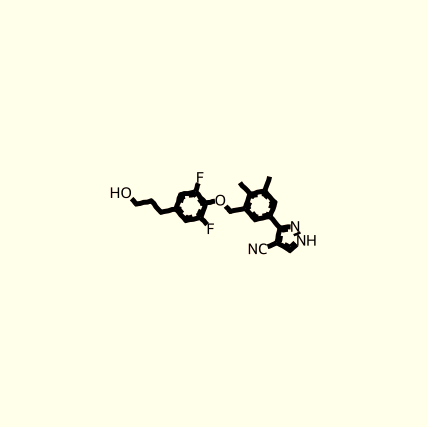 Cc1cc(-c2n[nH]cc2C#N)cc(COc2c(F)cc(CCCO)cc2F)c1C